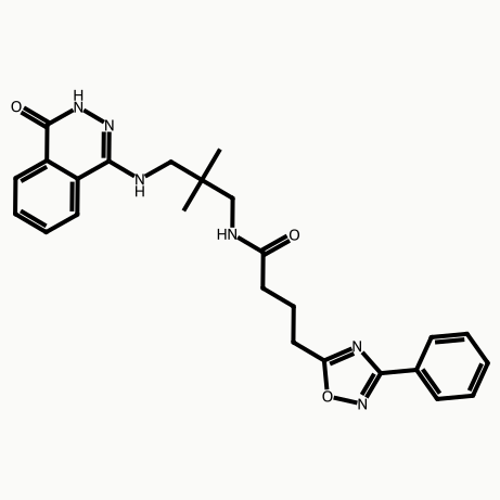 CC(C)(CNC(=O)CCCc1nc(-c2ccccc2)no1)CNc1n[nH]c(=O)c2ccccc12